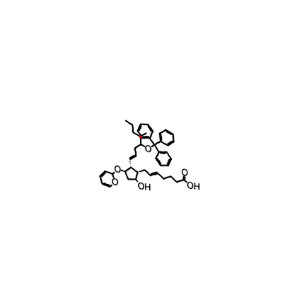 CCCC(C)C(C/C=C/[C@@H]1[C@@H](CC=CCCCC(=O)O)[C@@H](O)C[C@H]1OC1C=CC=CO1)OC(c1ccccc1)(c1ccccc1)c1ccccc1